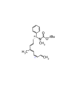 C=C/C=C\C=C(C)C=CC[C@H](c1ccccc1)N(C)C(=O)OC(C)(C)C